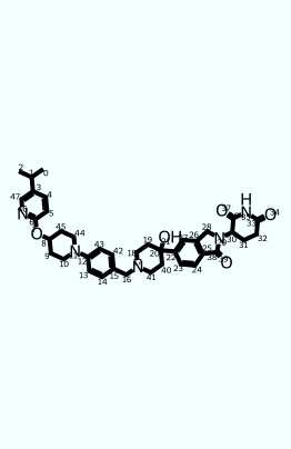 CC(C)c1ccc(OC2CCN(c3ccc(CN4CCC(O)(c5ccc6c(c5)CN(C5CCC(=O)NC5=O)C6=O)CC4)cc3)CC2)nc1